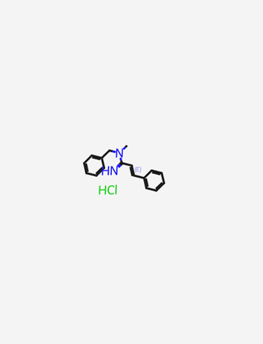 CN(Cc1ccccc1)C(=N)/C=C/c1ccccc1.Cl